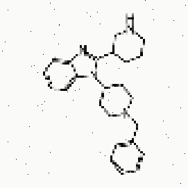 c1ccc(CN2CCC(n3c(C4CCCNC4)nc4ccccc43)CC2)cc1